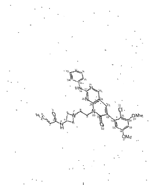 C=CC(=O)NC1CN(CCn2c(=O)c(-c3cc(OC)cc(OC)c3Cl)cc3cnc(Nc4ccccc4)nc32)C1